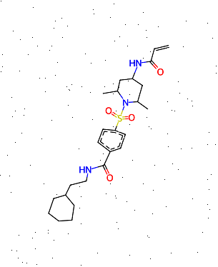 C=CC(=O)NC1CC(C)N(S(=O)(=O)c2ccc(C(=O)NCCC3CCCCC3)cc2)C(C)C1